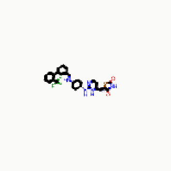 O=C1NC(=O)/C(=C/C2=CC=NC(N[C@H]3CC[C@H](NCc4cccc(-c5ccccc5C(F)(F)F)c4)CC3)N2)S1